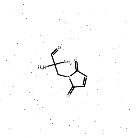 NC(N)([C]=O)CN1C(=O)C=CC1=O